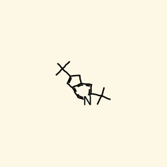 CC(C)(C)C1=Cc2cnc(C(C)(C)C)cc2C1